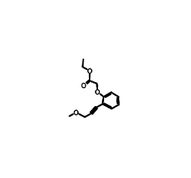 CCOC(=O)COc1ccccc1C#CCOC